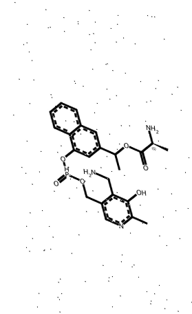 Cc1ncc(CO[PH](=O)Oc2cc(C(C)OC(=O)[C@H](C)N)cc3ccccc23)c(CN)c1O